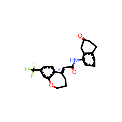 O=C1CCc2cccc(NC(=O)/C=C3\CCCOc4cc(C(F)(F)F)ccc43)c2C1